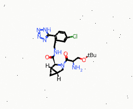 CC(C)(C)OC[C@@H](N)C(=O)N1C[C@@H]2C[C@@H]2[C@H]1C(=O)NCc1cc(Cl)ccc1-c1nnn[nH]1